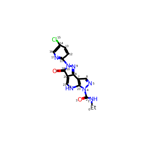 CCNC(=O)n1ncc2c3nn(-c4ccc(Cl)cn4)c(=O)c-3c[nH]c21